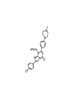 CCCCCn1c(-c2ccc(N3CCN(C)CC3)cc2)cc(=O)n2cc(-c3ccc(Cl)cc3)nc12